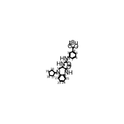 CC(C)(C)OC(=O)c1cccc(NC(=O)NC2CN(C3CCCC3)c3ccccc3NC2=O)c1